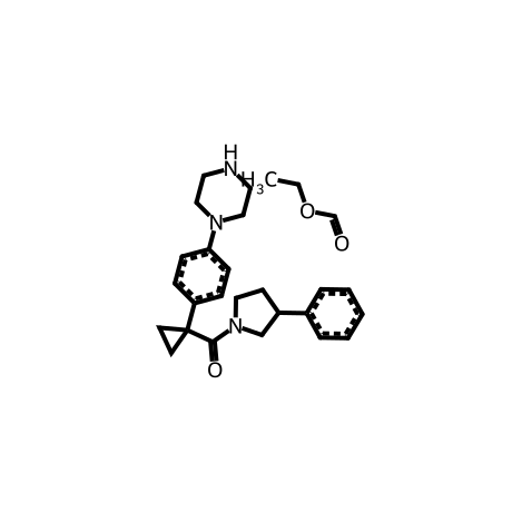 CCOC=O.O=C(N1CCC(c2ccccc2)C1)C1(c2ccc(N3CCNCC3)cc2)CC1